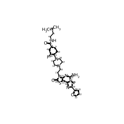 CN(C)CCNC(=O)c1ccc(N2CCN(CCn3c(=O)sc4c3nc(N)n3nc(-c5ccco5)nc43)CC2)c(F)c1